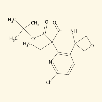 CCC1(C(=O)OC(C)(C)C)C(=O)NC2(COC2)c2ccc(Cl)nc21